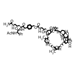 C=C1C[C@@H]2CC[C@]34C[C@@H](O)[C@H](O3)C3O[C@H]5CC[C@H](CC(=O)C[C@@H]6[C@@H](OC)[C@@H](C[C@H](O)CNC(=O)OCc7ccc(CC(=O)[C@H](CCCNC(N)=O)NC(=O)[C@@H](NC(C)=O)C(C)C)cc7)O[C@H]6C[C@H]6O[C@H](CCC6=C)CC[C@@H]1O2)O[C@@H]5[C@H](O4)C3C